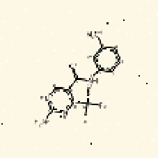 Cc1cccc(NC(=O)c2cnc(N)nc2C(F)(F)F)c1